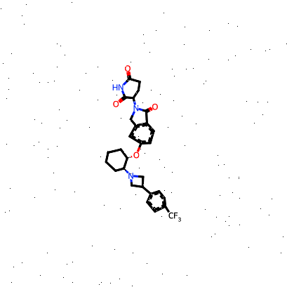 O=C1CCC(N2Cc3cc(O[C@H]4CCCC[C@@H]4N4CC(c5ccc(C(F)(F)F)cc5)C4)ccc3C2=O)C(=O)N1